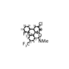 CNC(=O)c1cc(C(F)(F)F)cc(C(F)(F)F)c1-c1nnc(Cl)cc1-c1ccccc1